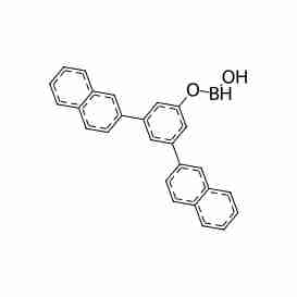 OBOc1cc(-c2ccc3ccccc3c2)cc(-c2ccc3ccccc3c2)c1